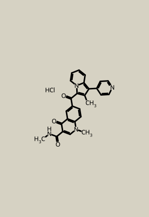 CNC(=O)c1cn(C)c2ccc(C(=O)c3c(C)c(-c4ccncc4)c4ccccn34)cc2c1=O.Cl